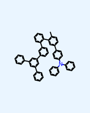 Cc1ccc(-c2ccc(N(c3ccccc3)c3ccccc3)cc2)cc1-c1ccccc1-c1cccc(-c2cc(-c3ccccc3)cc(-c3ccccc3)c2)c1